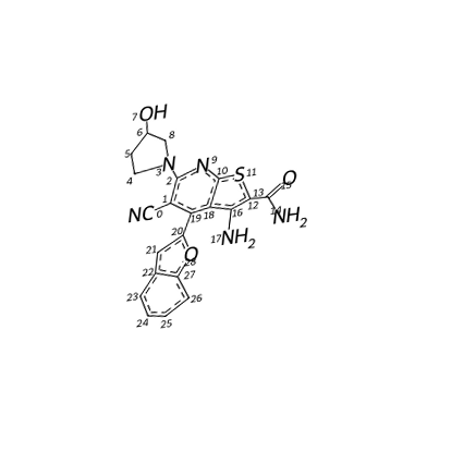 N#Cc1c(N2CCC(O)C2)nc2sc(C(N)=O)c(N)c2c1-c1cc2ccccc2o1